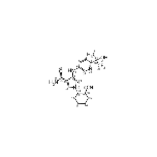 C[C@](O)(c1ccc(Nc2nn([C@H]3CCCC[C@@H]3C#N)cc2C(N)=O)cn1)C(F)(F)F